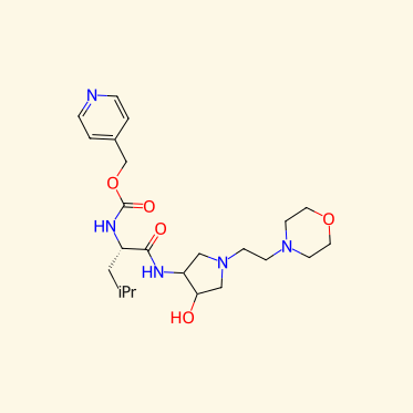 CC(C)C[C@H](NC(=O)OCc1ccncc1)C(=O)NC1CN(CCN2CCOCC2)CC1O